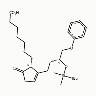 CC(C)(C)[Si](C)(C)O[C@H](CCC1=CCC(=O)[C@@H]1CCCCCCC(=O)O)COc1ccccc1